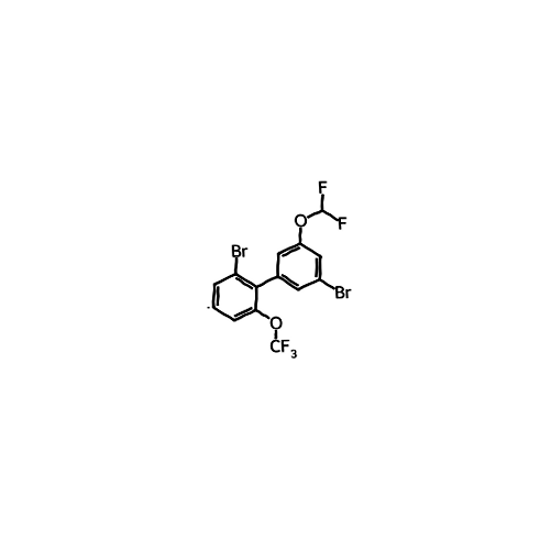 FC(F)Oc1cc(Br)cc(-c2c(Br)c[c]cc2OC(F)(F)F)c1